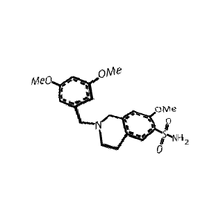 COc1cc(CN2CCc3cc(S(N)(=O)=O)c(OC)cc3C2)cc(OC)c1